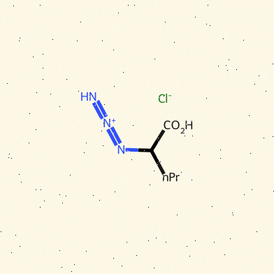 CCCC(N=[N+]=N)C(=O)O.[Cl-]